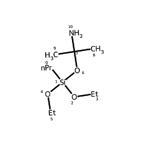 CCC[Si](OCC)(OCC)OC(C)(C)N